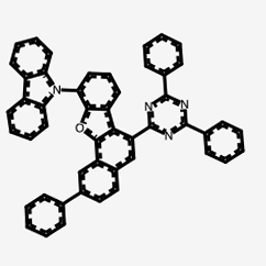 c1ccc(-c2ccc3cc(-c4nc(-c5ccccc5)nc(-c5ccccc5)n4)c4c5cccc(-n6c7ccccc7c7ccccc76)c5oc4c3c2)cc1